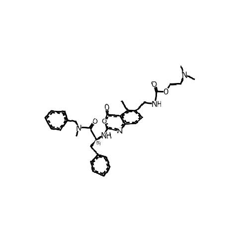 Cc1c(CNC(=O)OCCN(C)C)ccc2nc(N[C@@H](Cc3ccccc3)C(=O)N(C)Cc3ccccc3)oc(=O)c12